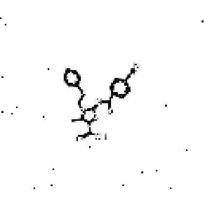 CC1C(C(=O)O)SC(=NC(=O)c2ccc(C#N)cc2)N1CCc1ccccc1